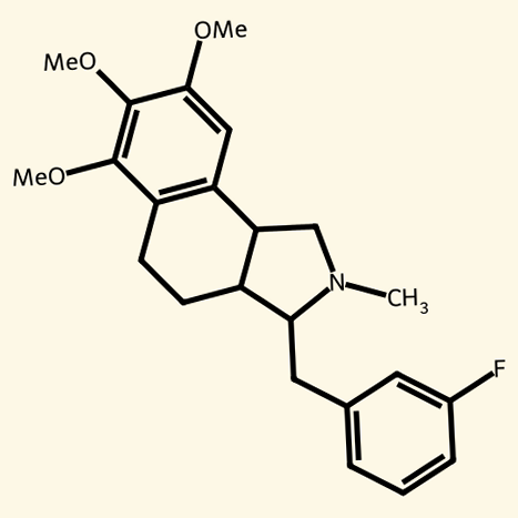 COc1cc2c(c(OC)c1OC)CCC1C2CN(C)C1Cc1cccc(F)c1